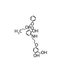 CCCOP(=O)(COc1ccccc1)c1cccc(NCCCOc2ccc(O)c(CO)c2)c1O